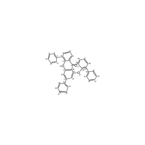 O=P12c3cccc(-c4ccccc4)c3Oc3cc(-c4ccncc4)cc(c31)Oc1c(-c3ccccc3)cccc12